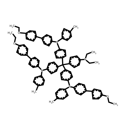 CCOc1ccc(-c2ccc(N(c3ccc(C)cc3)c3ccc(C(c4ccc(N(CC)CC)cc4)(c4ccc(N(c5ccc(C)cc5)c5ccc(-c6ccc(OCC)cc6)cc5)cc4)c4ccc(N(c5ccc(C)cc5)c5ccc(-c6ccc(OCC)cc6)cc5)cc4)cc3)cc2)cc1